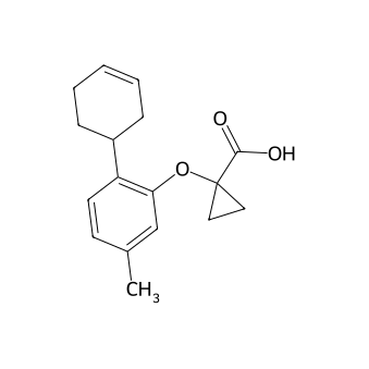 Cc1ccc(C2CC=CCC2)c(OC2(C(=O)O)CC2)c1